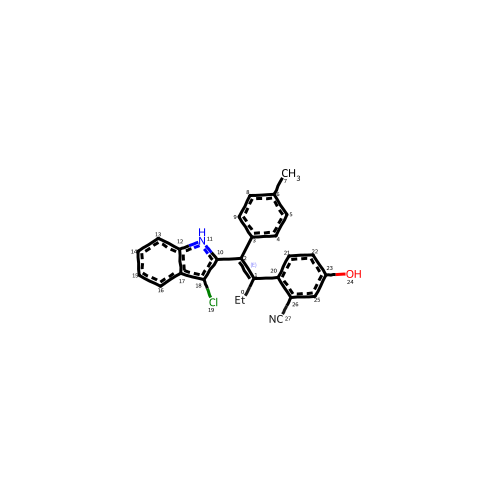 CC/C(=C(/c1ccc(C)cc1)c1[nH]c2ccccc2c1Cl)c1ccc(O)cc1C#N